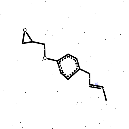 C/C=C/Cc1ccc(OCC2CO2)cc1